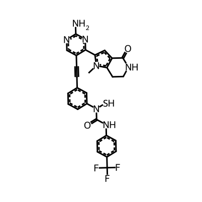 Cn1c(-c2nc(N)ncc2C#Cc2cccc(N(S)C(=O)Nc3ccc(C(F)(F)F)cc3)c2)cc2c1CCNC2=O